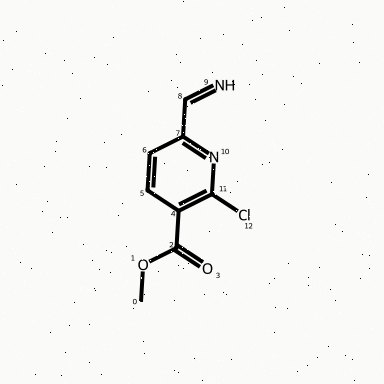 COC(=O)c1ccc(C=N)nc1Cl